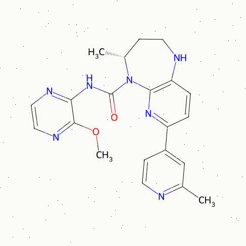 COc1nccnc1NC(=O)N1c2nc(-c3ccnc(C)c3)ccc2NCC[C@H]1C